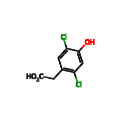 O=C(O)Cc1cc(Cl)c(O)cc1Cl